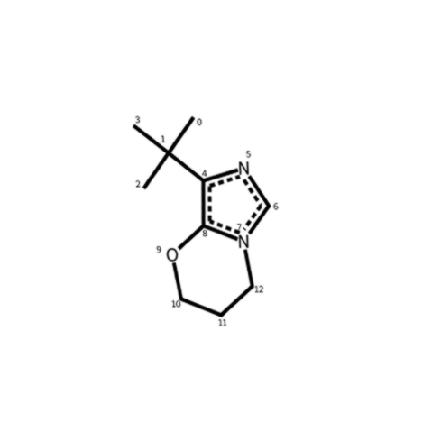 CC(C)(C)c1ncn2c1OCCC2